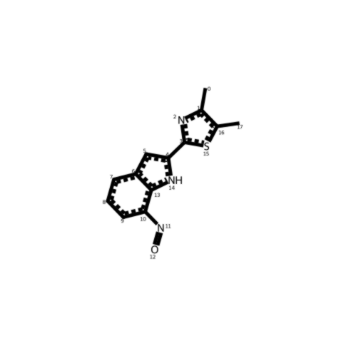 Cc1nc(-c2cc3cccc(N=O)c3[nH]2)sc1C